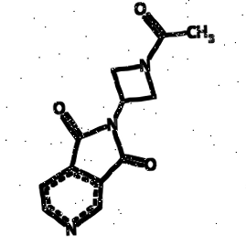 CC(=O)N1CC(N2C(=O)c3ccncc3C2=O)C1